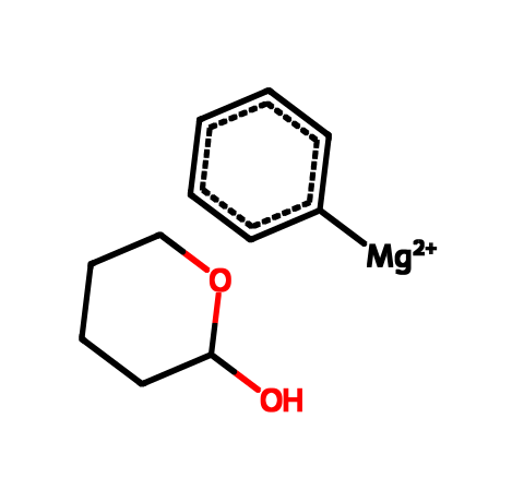 OC1CCCCO1.[Mg+2][c]1ccccc1